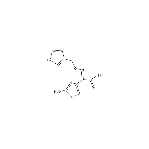 [NH]C(=O)/C(=N/OCc1c[nH]cn1)c1csc(N)n1